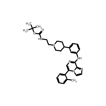 Cc1ccccc1-c1cnc(Nc2cccc(C3CCN(CCNC(=O)OC(C)(C)C)CC3)c2)c2nccn12